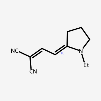 CCN1CCC/C1=C\C=C(C#N)C#N